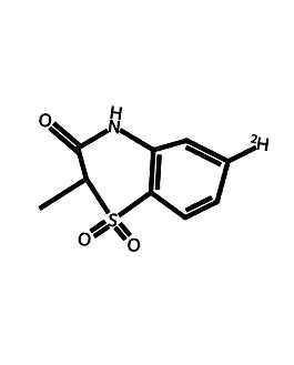 [2H]c1ccc2c(c1)NC(=O)C(C)S2(=O)=O